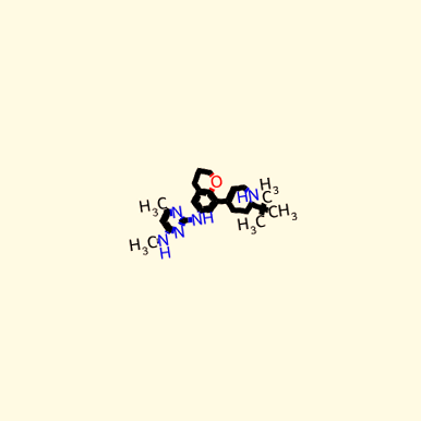 CNc1cc(C)nc(Nc2cc3c(c(C4=CCNC(C(C)(C)C)CC4)c2)OCCC3)n1